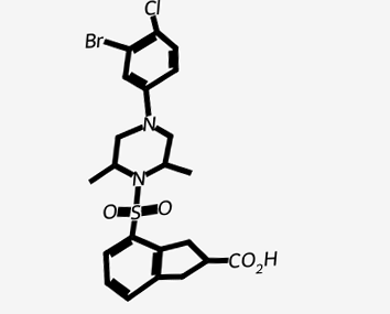 CC1CN(c2ccc(Cl)c(Br)c2)CC(C)N1S(=O)(=O)c1cccc2c1CC(C(=O)O)C2